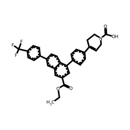 CCOC(=O)c1cc(-c2ccc(C3=CCN(C(=O)O)CC3)cc2)c2ccc(-c3ccc(C(F)(F)F)cc3)cc2c1